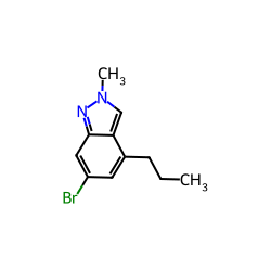 CCCc1cc(Br)cc2nn(C)cc12